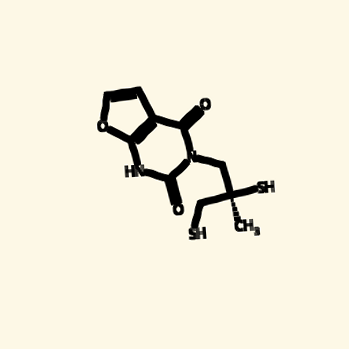 C[C@](S)(CS)Cn1c(=O)[nH]c2occc2c1=O